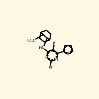 O=C(O)C1C2CCC(CC2)C1Nc1nc(Br)nc(-c2cccs2)c1F